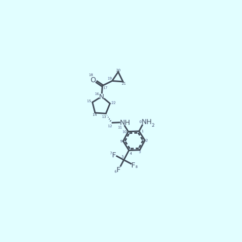 Nc1ccc(C(F)(F)F)cc1NC[C@@H]1CCN(C(=O)C2CC2)C1